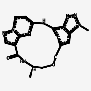 C[C@@H]1COCc2cc(c3nnn(C)c3c2)Nc2ccn3ncc(c3n2)C(=O)N1